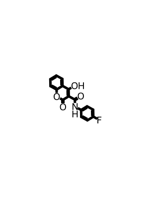 O=C(Nc1ccc(F)cc1)c1c(O)c2ccccc2oc1=O